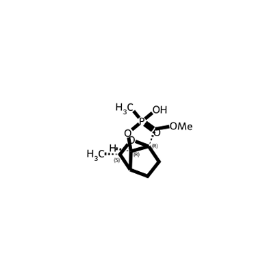 COC[C@@]12CCC([C@H](C)O1)[C@H]2OP(C)(=O)O